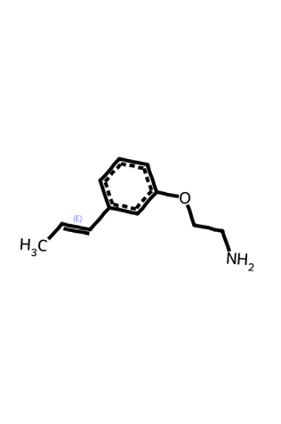 C/C=C/c1cccc(OCCN)c1